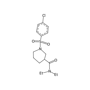 CCN(CC)C(=O)C1CCCN(S(=O)(=O)c2ccc(Cl)cc2)C1